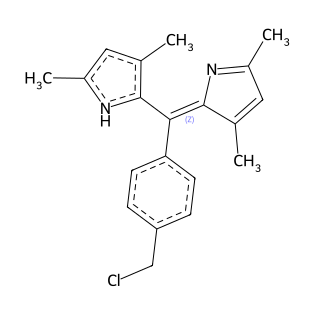 CC1=CC(C)=N/C1=C(/c1ccc(CCl)cc1)c1[nH]c(C)cc1C